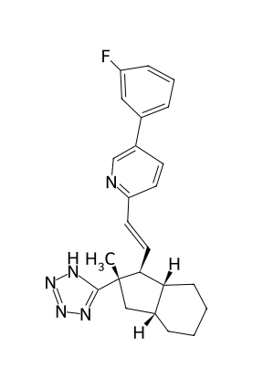 C[C@]1(c2nnn[nH]2)C[C@H]2CCCC[C@H]2[C@@H]1C=Cc1ccc(-c2cccc(F)c2)cn1